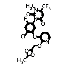 CC1OC(COc2ncccc2Oc2cc(-n3c(=O)cc(C(F)(F)F)n(C)c3=O)c(F)cc2Cl)O1